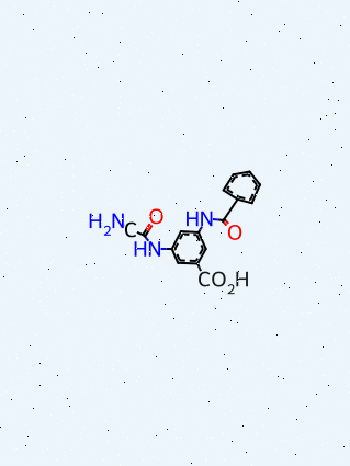 NCC(=O)Nc1cc(NC(=O)c2ccccc2)cc(C(=O)O)c1